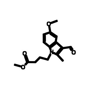 COC(=O)CCCn1c(C)c(C=O)c2cc(OC)ccc21